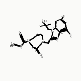 CC(C)(O)Cn1c(CN2CCN(C(=O)OC(C)(C)C)CC2=O)nc2c(Cl)cc(Cl)cc21